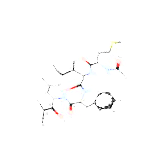 CCC(C)C(NC(=O)C(CCSC)NC(C)=O)C(=O)NC(Cc1ccccc1)C(=O)NC(CC(C)C)C(=O)C(C)C